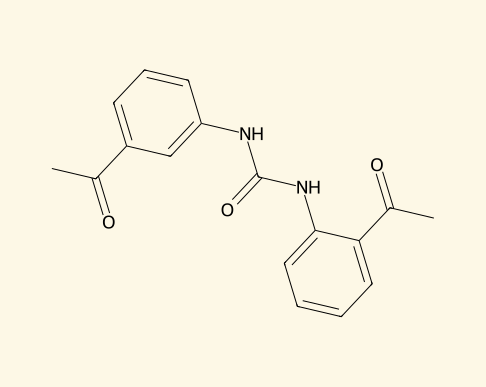 CC(=O)c1cccc(NC(=O)Nc2ccccc2C(C)=O)c1